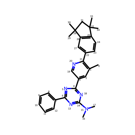 Cc1cc(-c2nc(-c3ccccc3)nc(N(C)C)n2)cnc1-c1ccc2c(c1)C(C)(C)CC2(C)C